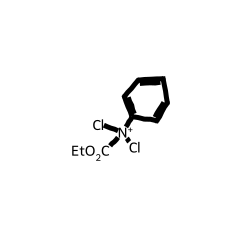 CCOC(=O)[N+](Cl)(Cl)c1ccccc1